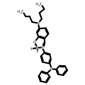 CCCCN(CCCC)c1ccc2c(c1)O[B-](F)(F)[N+](c1ccc(N(c3ccccc3)c3ccccc3)cc1)=C2